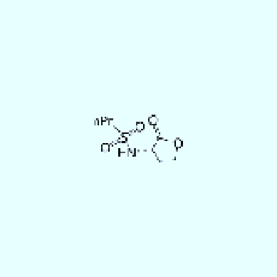 CCCS(=O)(=O)N[C@H]1CCOC1=O